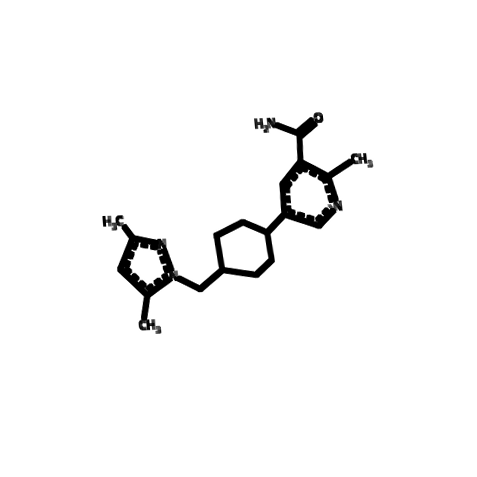 Cc1cc(C)n(CC2CCC(c3cnc(C)c(C(N)=O)c3)CC2)n1